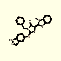 CN1C(=C2SC(=Nc3ccc4[nH]ncc4c3)N(Cc3ccccc3)C2=O)Sc2ccccc21